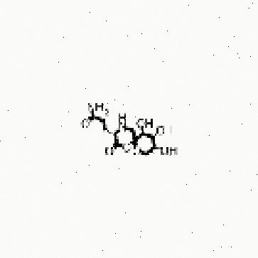 NC(=O)CC[C@@H]1NCC2(OC[C@@H](O)[C@@H](O)[C@@H]2O)OC1=O